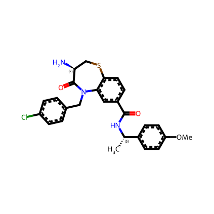 COc1ccc([C@H](C)NC(=O)c2ccc3c(c2)N(Cc2ccc(Cl)cc2)C(=O)[C@@H](N)CS3)cc1